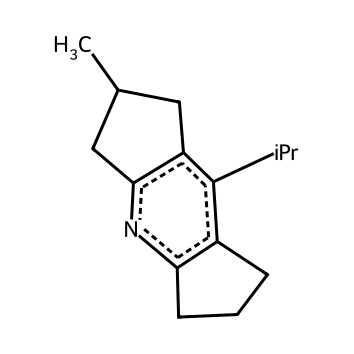 CC1Cc2nc3c(c(C(C)C)c2C1)CCC3